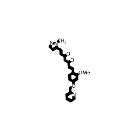 COc1cc(OCc2ccccn2)ccc1C=CC(=O)CC(=O)C=Cc1ccnn1C